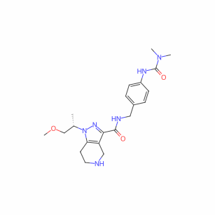 COC[C@H](C)n1nc(C(=O)NCc2ccc(NC(=O)N(C)C)cc2)c2c1CCNC2